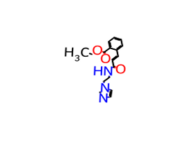 CCOC(=O)c1ccccc1C=CC(=O)NCCn1ccnc1